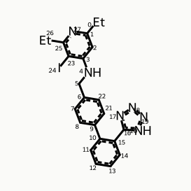 CCc1cc(NCc2ccc(-c3ccccc3-c3nnn[nH]3)cc2)c(I)c(CC)n1